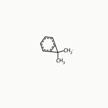 [CH2]C1(C)c2ccccc21